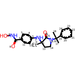 CCC1(Nc2ccc(C(=O)NO)cc2)CCN(C(C)(C)c2ccccc2)C1=O